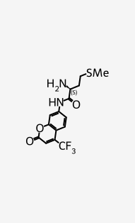 CSCC[C@H](N)C(=O)Nc1ccc2c(C(F)(F)F)cc(=O)oc2c1